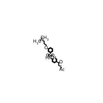 CC(=O)SCC(=O)c1ccc(NS(=O)(=O)c2cccc(OCCCN(C)C)c2)nc1